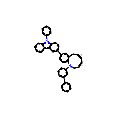 C1=C\Cc2cc(-c3ccc4c(c3)c3ccccc3n4-c3ccccc3)ccc2N(c2cccc(-c3ccccc3)c2)C\C=C/1